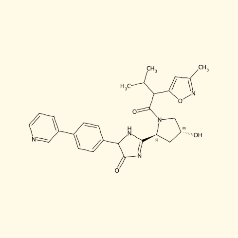 Cc1cc(C(C(=O)N2C[C@H](O)C[C@H]2C2=NC(=O)C(c3ccc(-c4cccnc4)cc3)N2)C(C)C)on1